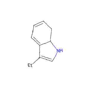 CCC1=CNC2CC=CC=C12